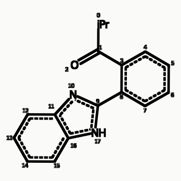 CC(C)C(=O)c1ccccc1-c1nc2ccccc2[nH]1